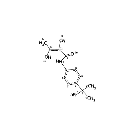 CCCC(C)(C)c1ccc(NC(=O)C(C#N)=C(C)O)cc1